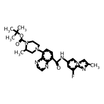 Cc1cn2cc(NC(=O)c3ccc(N4CCN(C(=O)OC(C)(C)C)C(C)C4)c4nccnc34)cc(F)c2n1